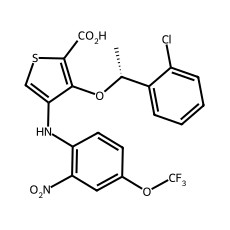 C[C@@H](Oc1c(Nc2ccc(OC(F)(F)F)cc2[N+](=O)[O-])csc1C(=O)O)c1ccccc1Cl